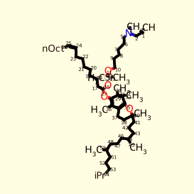 C#CCN(C)CCCCCCO[Si](C)(C)OC(CCCCCCC/C=C\CCCCCCCC)Oc1c(C)c(C)c2c(c1C)CCC(C)(CCCC(C)CCCC(C)CCCC(C)C)O2